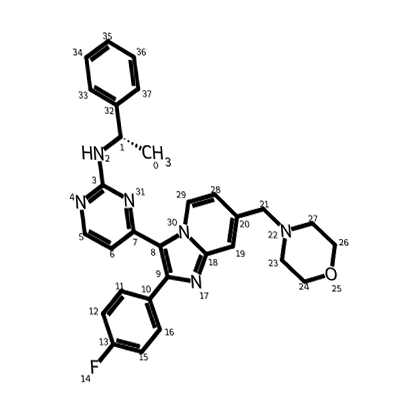 C[C@H](Nc1nccc(-c2c(-c3ccc(F)cc3)nc3cc(CN4CCOCC4)ccn23)n1)c1ccccc1